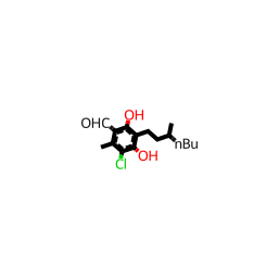 [CH2]CCCC(C)CCc1c(O)c(Cl)c(C)c(C=O)c1O